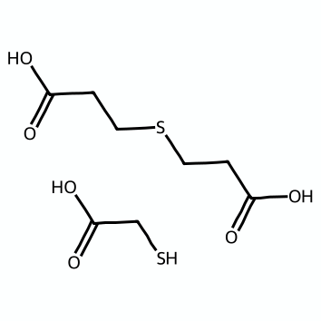 O=C(O)CCSCCC(=O)O.O=C(O)CS